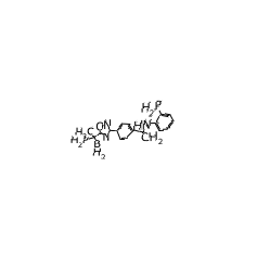 BC(C)(P)c1nc(-c2ccc(C(=C)Nc3ccccc3P)cc2)no1